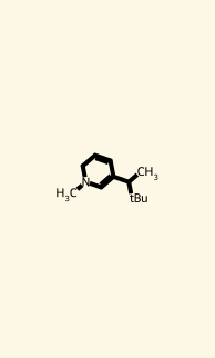 CC(C1=CN(C)CC=C1)C(C)(C)C